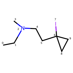 CCN(C)CCC1(I)CC1